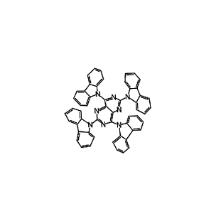 c1ccc2c(c1)c1ccccc1n2-c1nc(-n2c3ccccc3c3ccccc32)c2nc(-n3c4ccccc4c4ccccc43)nc(-n3c4ccccc4c4ccccc43)c2n1